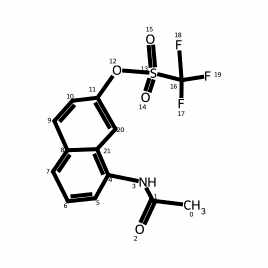 CC(=O)Nc1cccc2ccc(OS(=O)(=O)C(F)(F)F)cc12